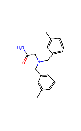 Cc1cccc(CN(CC(N)=O)Cc2cccc(C)c2)c1